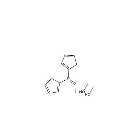 CO.CO.C[CH]=[Zr]([C]1=CC=CC1)[C]1=CC=CC1